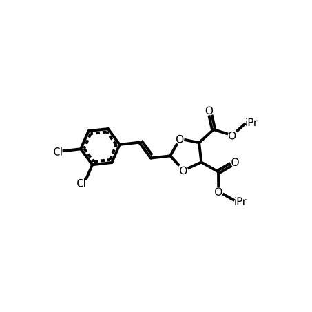 CC(C)OC(=O)C1OC(/C=C/c2ccc(Cl)c(Cl)c2)OC1C(=O)OC(C)C